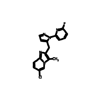 Cc1c(Cc2ccnn2-c2cccc(F)n2)nc2ccc(Cl)cn12